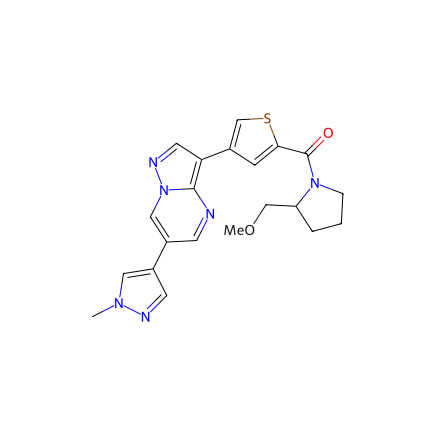 COCC1CCCN1C(=O)c1cc(-c2cnn3cc(-c4cnn(C)c4)cnc23)cs1